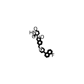 O=C1CCC(N2Cc3cc(CN4CC=C(c5cccc6c(F)cccc56)CC4)ccc3C2=O)C(=O)N1